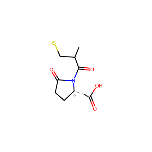 CC(CS)C(=O)N1C(=O)CC[C@H]1C(=O)O